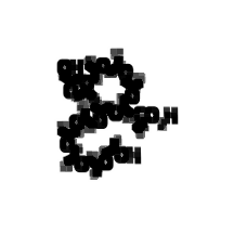 C=CC(=O)O.CC(O)COC(C)COC(C)COC(C)COC(C)COC(C)COC(C)COC(C)COC(C)COC(C)COC(C)COC(C)CO